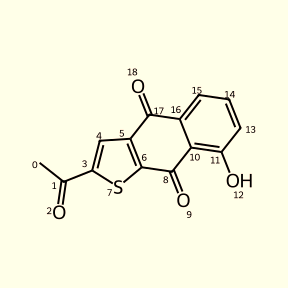 CC(=O)c1cc2c(s1)C(=O)c1c(O)cccc1C2=O